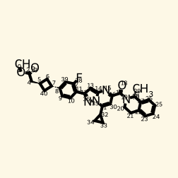 COC(=O)C[C@H]1C[C@H](c2ccc(-c3cc4nc(C(=O)N5CCc6ccccc6[C@H]5C)cc(C5CC5)n4n3)c(F)c2)C1